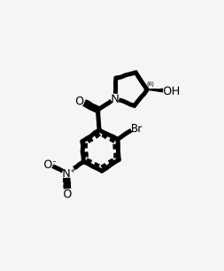 O=C(c1cc([N+](=O)[O-])ccc1Br)N1CC[C@@H](O)C1